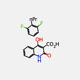 CCCc1c(F)cccc1F.O=C(O)c1c(O)c2ccccc2[nH]c1=O